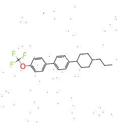 CCCC1CCC(c2ccc(-c3ccc(OC(F)(F)F)cc3)cc2)CC1